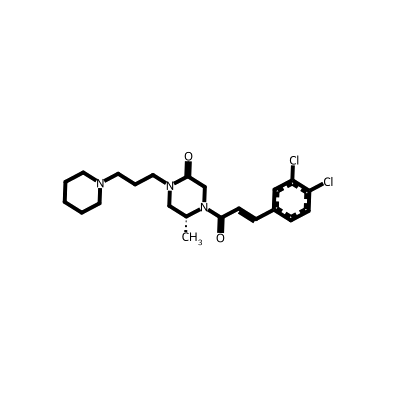 C[C@@H]1CN(CCCN2CCCCC2)C(=O)CN1C(=O)/C=C/c1ccc(Cl)c(Cl)c1